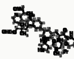 CCn1c(-c2cccnc2[C@H](C)OC)c(CC(C)(C)COC=O)c2cc(-c3cc(O)cc(C[C@H](NC(=O)[C@H](C(C)C)N(C)C(=O)[C@@H]4CNC[C@@H]4O)C(=O)N4CCCCN4)c3)ccc21